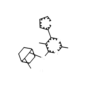 O=C(O)C1C2CCC(CC2)C1Nc1nc(Cl)nc(-c2cccs2)c1F